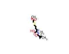 COC(=O)CSCCCC=C(NC(=O)C1CC1(C)C)C(=O)O